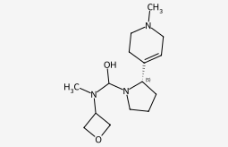 CN1CC=C([C@@H]2CCCN2C(O)N(C)C2COC2)CC1